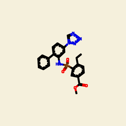 CCc1ccc(C(=O)OC)cc1S(=O)(=O)Nc1cc(-n2cnnn2)ccc1-c1ccccc1